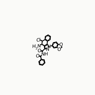 NC1c2c(C(=O)NC(=O)c3ccccc3)nn(-c3ccc4c(c3)OCO4)c2-c2ccccc2C1Cl